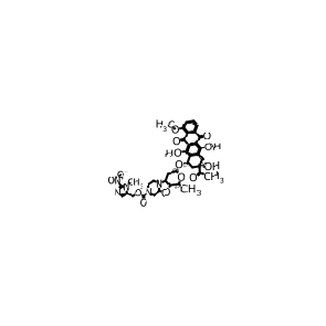 COc1cccc2c1C(=O)c1c(O)c3c(c(O)c1C2=O)C[C@@](O)(C(C)=O)C[C@@H]3O[C@H]1CC2C(OC3CN(C(=O)OCc4cnc([N+](=O)[O-])n4C)CCN32)[C@H](C)O1